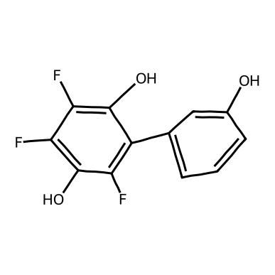 Oc1cccc(-c2c(O)c(F)c(F)c(O)c2F)c1